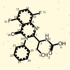 CCC(NC(=O)O)c1nc2c(F)ccc(F)c2c(=O)n1-c1ccccc1